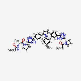 COC(=O)N[C@H](C(=O)N1CCC[C@H]1c1nnc(-c2ccc([C@H]3CC[C@H](c4ccc(-c5nnc([C@@H]6CCCN6C(=O)[CH]C(C)C)[nH]5)cc4)N3c3ccc(C(C)(C)C)cc3)cc2)[nH]1)C(C)C